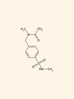 CNS(=O)(=O)c1ccc(CN(C)C(C)=O)cc1